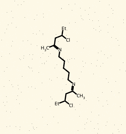 CCC(Cl)CC(C)=NCCCCCN=C(C)CC(Cl)CC